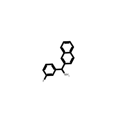 NC(c1cccc(F)c1)c1ccc2ccccc2c1